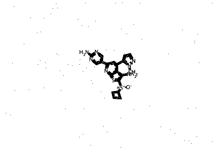 Cn1nccc1-c1cc(-c2cnc(N)nc2)nc2sc([S@@+]([O-])C3CCC3)c(N)c12